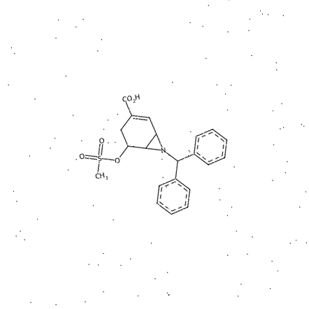 CS(=O)(=O)OC1CC(C(=O)O)=CC2C1N2C(c1ccccc1)c1ccccc1